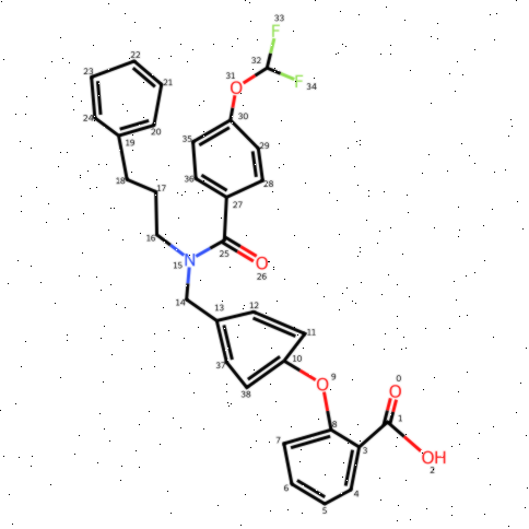 O=C(O)c1ccccc1Oc1ccc(CN(CCCc2ccccc2)C(=O)c2ccc(OC(F)F)cc2)cc1